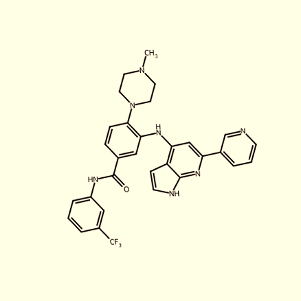 CN1CCN(c2ccc(C(=O)Nc3cccc(C(F)(F)F)c3)cc2Nc2cc(-c3cccnc3)nc3[nH]ccc23)CC1